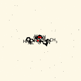 Cn1cc(N[C@@H](CC2CC2)C(=O)N2[C@H]3CC[C@@H]([C@H]2C(=O)N[C@@H](C#N)C[C@@H]2CCCNC2=O)C(F)(F)C3)cn1